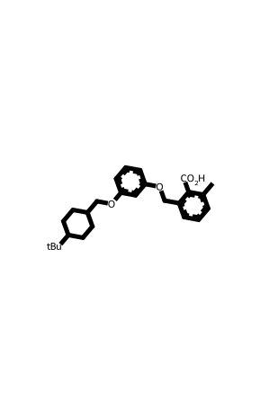 Cc1cccc(COc2cccc(OCC3CCC(C(C)(C)C)CC3)c2)c1C(=O)O